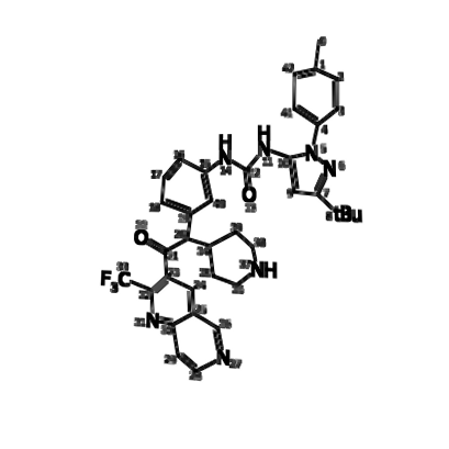 Cc1ccc(-n2nc(C(C)(C)C)cc2NC(=O)Nc2cccc(C(C(=O)c3cc4cnccc4nc3C(F)(F)F)C3CCNCC3)c2)cc1